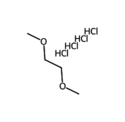 COCCOC.Cl.Cl.Cl.Cl